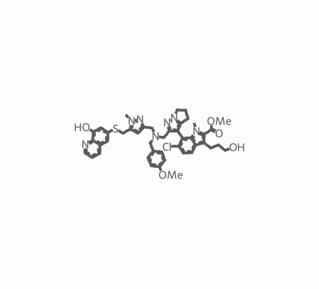 COC(=O)c1c(CCCO)c2ccc(Cl)c(-c3c(CN(Cc4ccc(OC)cc4)Cc4cc(CSc5cc(O)c6ncccc6c5)n(C)n4)nn4c3CCC4)c2n1C